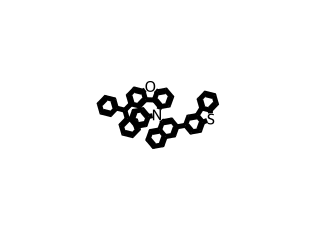 c1ccc(C(c2ccccc2)c2ccc3oc4cccc(N(c5ccccc5)c5cc(-c6ccc7sc8ccccc8c7c6)cc6ccccc56)c4c3c2)cc1